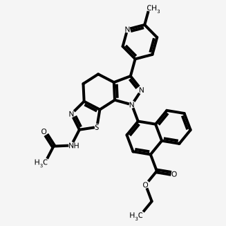 CCOC(=O)c1ccc(-n2nc(-c3ccc(C)nc3)c3c2-c2sc(NC(C)=O)nc2CC3)c2ccccc12